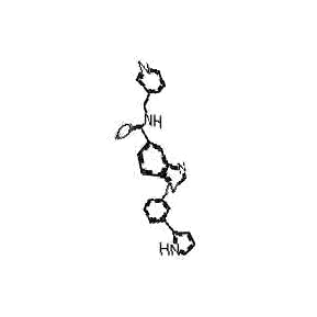 O=C(NCc1cccnc1)c1ccc2c(c1)ncn2-c1cccc(-c2ccc[nH]2)c1